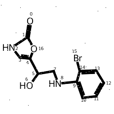 O=c1[nH]cc(C(O)CNc2ccccc2Br)o1